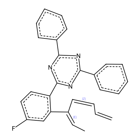 C=C/C=C\C(=C/C)c1cc(F)ccc1-c1nc(-c2ccccc2)nc(-c2ccccc2)n1